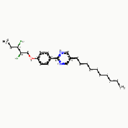 CCCCCCCCCCc1cnc(-c2ccc(OCC(F)C(F)CC)cc2)nc1